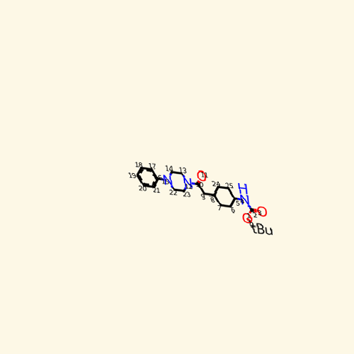 CC(C)(C)OC(=O)NC1CCC(CC(=O)N2CCN(c3ccccc3)CC2)CC1